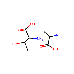 CC(N)C(=O)O.CC(O)C(N)C(=O)O